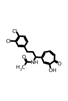 CC(=O)NC(CCc1ccc(Cl)c(Cl)c1)c1cccc(=O)c(O)c1